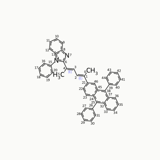 C/C(=C\C=C(/C)c1nc2ccccc2n1-c1ccccc1)c1ccc2c(-c3ccccc3)c3ccccc3c(-c3ccccc3)c2c1